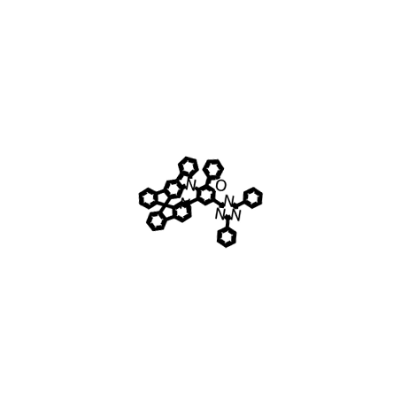 N#Cc1cc(-c2nc(-c3ccccc3)nc(-c3ccccc3)n2)c2oc3ccccc3c2c1-n1c2ccccc2c2cc3c(cc21)C1(c2ccccc2-c2ccccc21)c1ccccc1-3